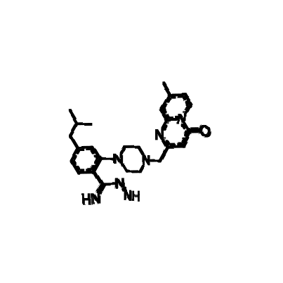 Cc1ccn2c(=O)cc(CN3CCN(c4cc(CC(C)C)ccc4C(=N)N=N)CC3)nc2c1